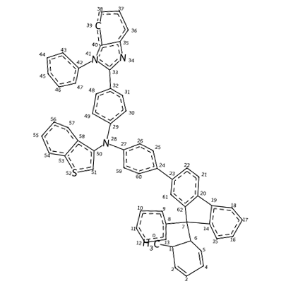 CC1C=CC=CC1C1(c2ccccc2)c2ccccc2-c2ccc(-c3ccc(N(c4ccc(-c5nc6ccccc6n5-c5ccccc5)cc4)c4csc5ccccc45)cc3)cc21